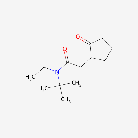 CCN(C(=O)CC1CCCC1=O)C(C)(C)C